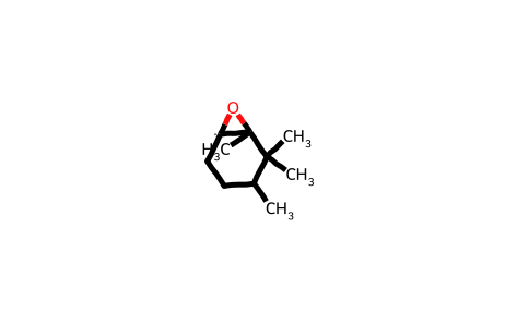 CC1CC[C]2OC2(C)C1(C)C